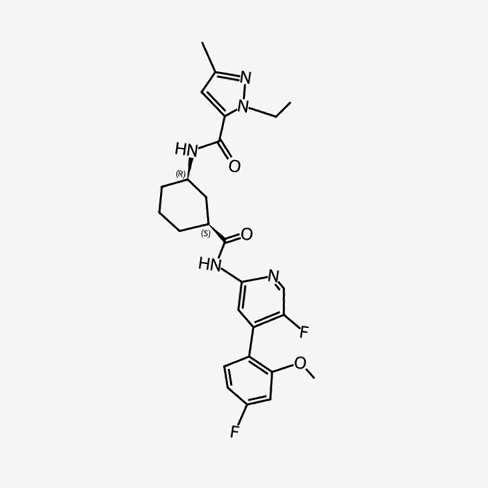 CCn1nc(C)cc1C(=O)N[C@@H]1CCC[C@H](C(=O)Nc2cc(-c3ccc(F)cc3OC)c(F)cn2)C1